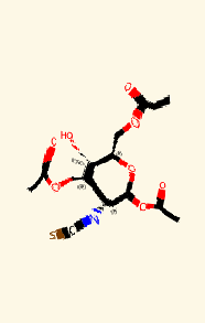 CC(=O)OC[C@H]1OC(OC(C)=O)[C@H](N=C=S)[C@@H](OC(C)=O)[C@@H]1O